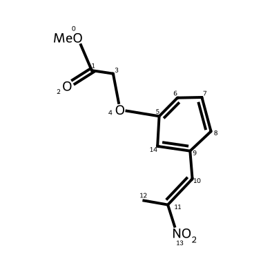 COC(=O)COc1cccc(C=C(C)[N+](=O)[O-])c1